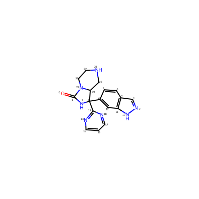 O=C1NC(c2ccc3cn[nH]c3c2)(c2ncccn2)C2CNCCN12